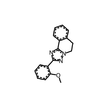 COc1ccccc1-c1nc2n(n1)CCc1ccccc1-2